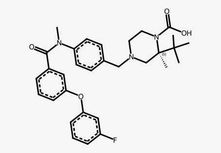 CN(C(=O)c1cccc(Oc2cccc(F)c2)c1)c1ccc(CN2CCN(C(=O)O)[C@@](C)(C(C)(C)C)C2)cc1